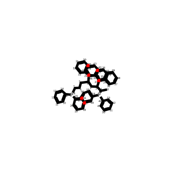 CC(C(CC(CCCP(c1ccccc1)c1ccccc1)P(c1ccccc1)c1ccccc1)P(c1ccccc1)c1ccccc1)P(c1ccccc1)c1ccccc1